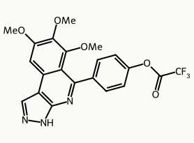 COc1cc2c(c(-c3ccc(OC(=O)C(F)(F)F)cc3)nc3[nH]ncc32)c(OC)c1OC